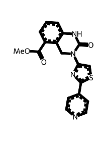 COC(=O)c1cccc2c1CN(c1csc(-c3ccncc3)n1)C(=O)N2